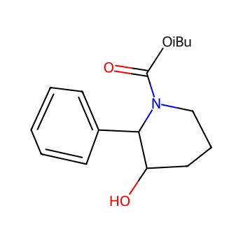 CC(C)COC(=O)N1CCCC(O)C1c1ccccc1